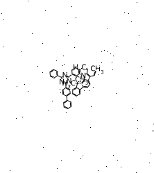 C=Cc1c(/C=C\C)c2ccc3c(c2n1-c1cccc(-c2nc(-c4ccccc4)nc(-c4ccc(-c5ccccc5)cc4)n2)c1)C(C)(C)c1ccccc1-3